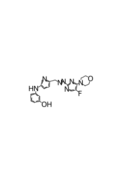 Oc1cccc(Nc2ccc(C/N=N/c3ncc(F)c(N4CCOCC4)n3)nc2)c1